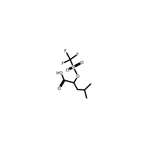 CC(C)CC(OS(=O)(=O)C(F)(F)F)C(=O)O